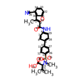 Cc1c(C(=O)Nc2ccc(-c3ccc(S(=O)(=O)N(C)C(C(=O)O)C(C)C)cc3)cc2)oc2cccc(C#N)c12